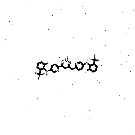 O=C(CC(Cc1ccc(Nc2c(F)cccc2C(F)(F)F)cn1)=NO)c1ccc(Nc2c(F)cccc2C(F)(F)F)cn1